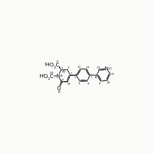 O=C(O)[C@H]1CC(c2ccc(-c3cccnc3)cc2)=CC(=O)N1C(=O)O